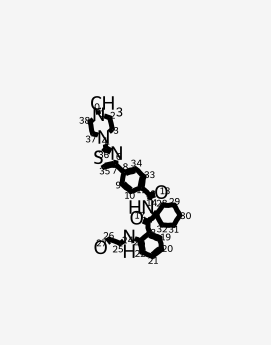 CN1CCN(c2nc(-c3ccc(C(=O)NC4(C(=O)c5ccccc5NCC=O)CCCCC4)cc3)cs2)CC1